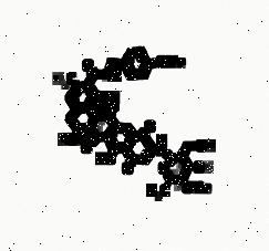 COc1ccc(CNC(=O)c2c(C)cc3c(c2O)[C@]2(O)C(=O)c4cc5c(c(O)c4C(=O)[C@]2(OC)[C@H](O)C3)C(=O)C=C(NC2O[C@@H](C)[C@H](OC)[C@@H](O)C2CO)C5=O)cc1